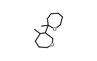 CC1CCCOCC1C1(C)[CH]CCCCO1